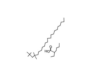 CCCCC(CC)C(=O)O.CCCCCCCCCCCCCCCCCCC(C)(C)CC(C)(C)C